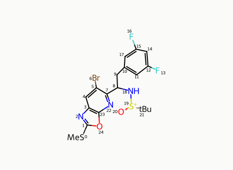 CSc1nc2cc(Br)c(C(Cc3cc(F)cc(F)c3)N[S@@+]([O-])C(C)(C)C)nc2o1